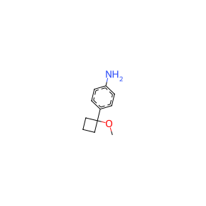 COC1(c2ccc(N)cc2)CCC1